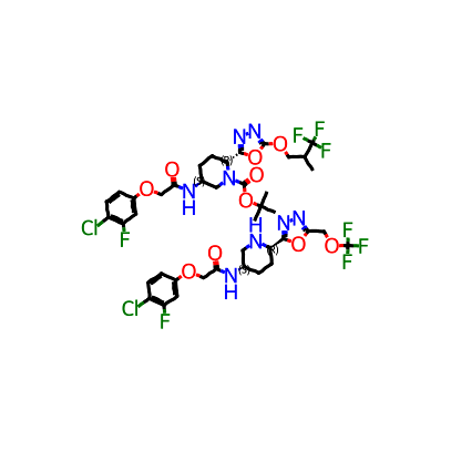 CC(COc1nnc([C@H]2CC[C@H](NC(=O)COc3ccc(Cl)c(F)c3)CN2C(=O)OC(C)(C)C)o1)C(F)(F)F.O=C(COc1ccc(Cl)c(F)c1)N[C@H]1CC[C@H](c2nnc(COC(F)(F)F)o2)NC1